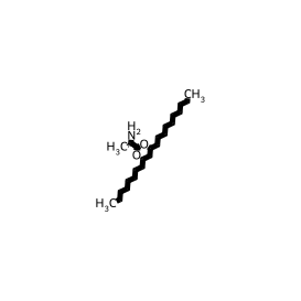 CCCCCCCCCCC(CCCCCCCCCC)OC(=O)[C@H](C)N